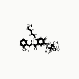 Cc1ccccc1CNC(=O)c1cc(B2OC(C)(C)C(C)(C)O2)c(Cl)cc1OCCCCO